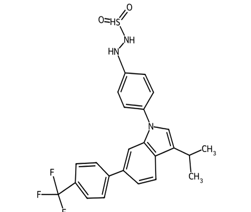 CC(C)c1cn(-c2ccc(NN[SH](=O)=O)cc2)c2cc(-c3ccc(C(F)(F)F)cc3)ccc12